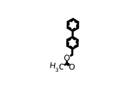 CC(=O)OCc1ccc(-c2ccccc2)cc1